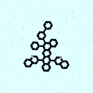 c1ccc(-c2cccc(-c3c(-c4ccccc4)c4cc5c(-c6cnc7ccccc7c6)c6ccccc6c(-c6cnc7ccccc7c6)c5cc4c4ccccc34)c2)cc1